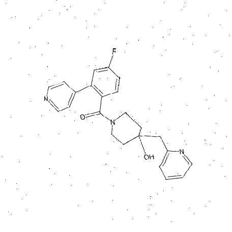 O=C(c1ccc(F)cc1-c1ccncc1)N1CCC(O)(Cc2ccccn2)CC1